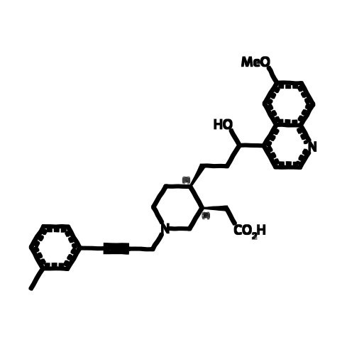 COc1ccc2nccc(C(O)CC[C@@H]3CCN(CC#Cc4cccc(C)c4)C[C@@H]3CC(=O)O)c2c1